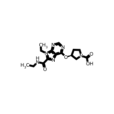 CCNC(=O)c1nc2c(O[C@H]3CCN(C(=O)O)C3)ncnc2n1CC